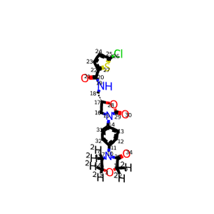 [2H]C1([2H])OC([2H])([2H])C([2H])([2H])N(c2ccc(N3C[C@H](CNC(=O)c4ccc(Cl)s4)OC3=O)cc2)C1=O